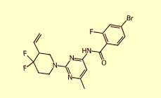 C=CC1CN(c2nc(C)cc(NC(=O)c3ccc(Br)cc3F)n2)CCC1(F)F